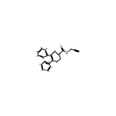 C#CCOC(=O)C1CCC(c2ccccc2)=C(c2ccccc2)C1